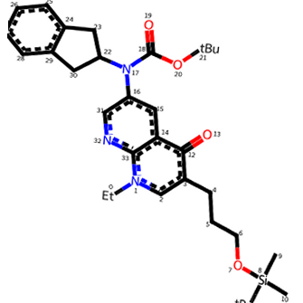 CCn1cc(CCCO[Si](C)(C)C(C)(C)C)c(=O)c2cc(N(C(=O)OC(C)(C)C)C3Cc4ccccc4C3)cnc21